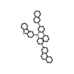 c1ccc(-c2ccc(-c3ccc4ccccc4c3)cc2N(c2ccc(-c3ccc4c(ccc5ccccc54)c3)cc2)c2ccc3oc4ccccc4c3c2)cc1